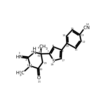 CN1C(=N)N[C@](C)(c2cc(-c3ccc(C#N)cc3)cs2)CC1=O